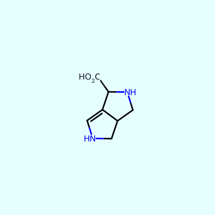 O=C(O)C1NCC2CNC=C21